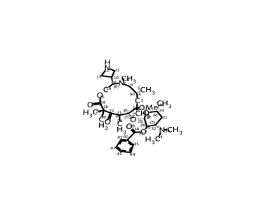 CO[C@]1(C)C[C@@H](C)CN(C)[C@H](C2CNC2)COC(=O)C(C)(C)C(=O)[C@H](C)[C@H]1O[C@@H]1O[C@H](C)C[C@H](N(C)C)[C@H]1OC(=O)c1ccccc1